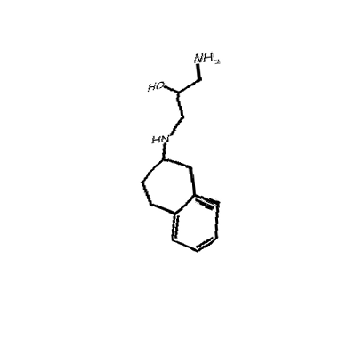 NCC(O)CNC1CCc2ccccc2C1